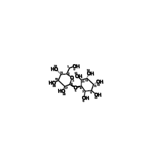 OCC1O[C@@H](O[C@@H]2C(O)C(O)[C@@H](O)[C@@H](O)C2O)C(O)C(O)[C@@H]1O